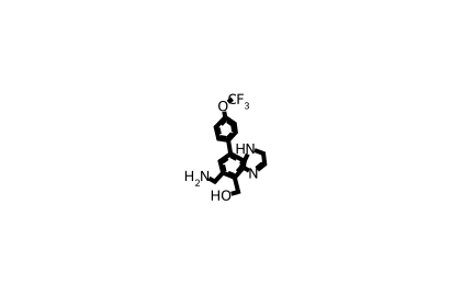 NCc1cc(-c2ccc(OC(F)(F)F)cc2)c2c(c1CO)N=CCN2